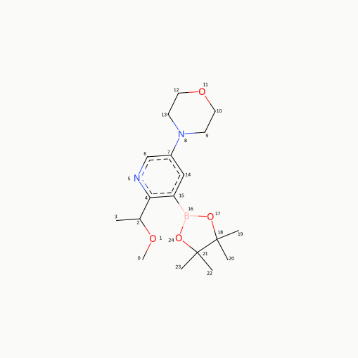 COC(C)c1ncc(N2CCOCC2)cc1B1OC(C)(C)C(C)(C)O1